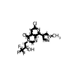 Cn1cc(-c2nc(Cl)cc3c(=O)n(C[C@@H](O)C(F)(F)F)cnc23)cn1